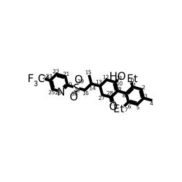 CCc1cc(C)cc(CC)c1C1=C(O)CC(C(C)CS(=O)(=O)c2ccc(C(F)(F)F)cn2)CC1=O